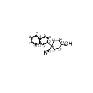 N#CC1(c2ccc3ccccc3c2)CCC(O)CC1